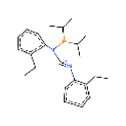 CCc1ccccc1/N=C/N(c1ccccc1CC)P(C(C)C)C(C)C